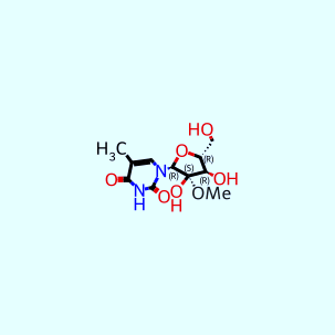 CO[C@@]1(O)[C@H](O)[C@@H](CO)O[C@H]1n1cc(C)c(=O)[nH]c1=O